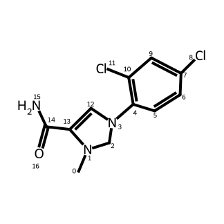 CN1CN(c2ccc(Cl)cc2Cl)C=C1C(N)=O